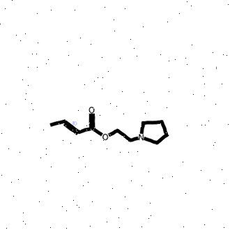 C/C=C/C(=O)OCCN1CCCC1